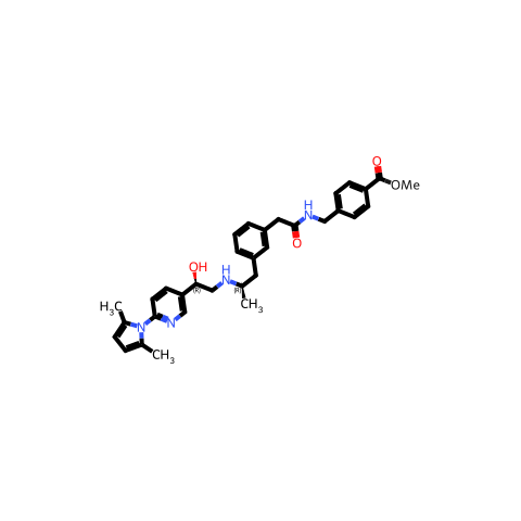 COC(=O)c1ccc(CNC(=O)Cc2cccc(C[C@@H](C)NC[C@H](O)c3ccc(-n4c(C)ccc4C)nc3)c2)cc1